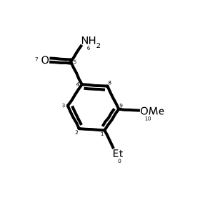 CCc1ccc(C(N)=O)cc1OC